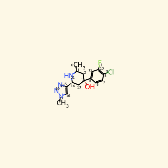 C[C@H]1C[C@@](O)(c2ccc(Cl)c(F)c2)C[C@@H](c2cn(C)nn2)N1